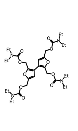 CCN(CC)C(=O)OCc1cc(-c2cc(COC(=O)N(CC)CC)oc2COC(=O)N(CC)CC)c(COC(=O)N(CC)CC)o1